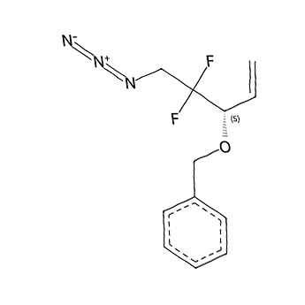 C=C[C@H](OCc1ccccc1)C(F)(F)CN=[N+]=[N-]